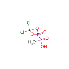 CP(=O)(O)P1(=O)OC(Cl)(Cl)O1